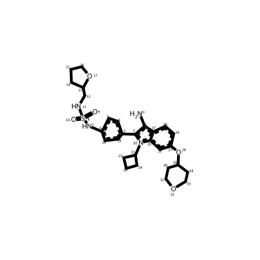 Nc1c(-c2ccc(NS(=O)(=O)NCC3CCCO3)cc2)n(C2CCC2)c2cc(OC3CCOCC3)ccc12